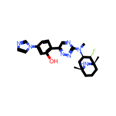 CN(c1ncc(-c2ccc(-n3ccnc3)cc2O)nn1)[C@@H]1C[C@@]2(C)CCC[C@](C)(N2)[C@H]1F